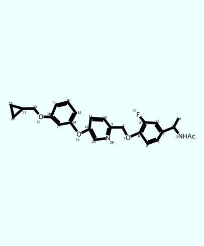 CC(=O)NC(C)c1ccc(OCc2ccc(Oc3cccc(OCC4CC4)c3)cn2)c(F)c1